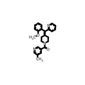 COc1ccccc1C(=C1CCN(C(=O)c2cncc(C)c2)CC1)c1ccccn1